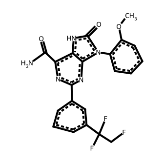 COc1ccccc1-n1c(=O)[nH]c2c(C(N)=O)nc(-c3cccc(C(F)(F)CF)c3)nc21